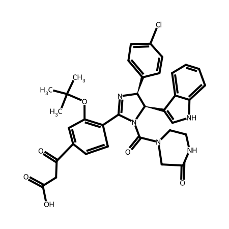 CC(C)(C)Oc1cc(C(=O)CC(=O)O)ccc1C1=N[C@@H](c2ccc(Cl)cc2)[C@@H](c2c[nH]c3ccccc23)N1C(=O)N1CCNC(=O)C1